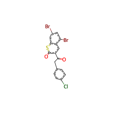 O=C(Cc1ccc(Cl)cc1)c1cc2c(Br)cc(Br)cc2sc1=O